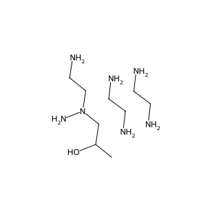 CC(O)CN(N)CCN.NCCN.NCCN